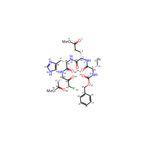 COC(=O)CC[C@H](NC(=O)[C@H](CC(C)C)NC(=O)OCc1ccccc1)C(=O)N[C@@H](Cc1c[nH]cn1)C(=O)N[C@@H](CC(=O)OC)C(=O)CF